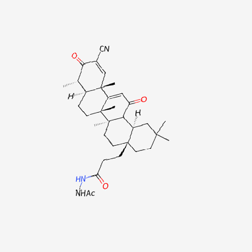 CC(=O)NNC(=O)CC[C@]12CCC(C)(C)C[C@@H]1C1C(=O)C=C3[C@@]4(C)C=C(C#N)C(=O)[C@@H](C)[C@@H]4CC[C@@]3(C)[C@]1(C)CC2